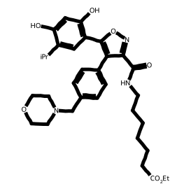 CCOC(=O)CCCCCCNC(=O)c1noc(-c2cc(C(C)C)c(O)cc2O)c1-c1ccc(CN2CCOCC2)cc1